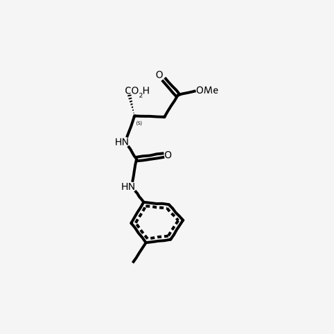 COC(=O)C[C@H](NC(=O)Nc1cccc(C)c1)C(=O)O